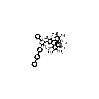 Bc1c(B)c(B)c(-c2c(B)c(-c3nc(-c4ccccc4)nc(-c4ccc(-c5ccc(-c6ccccc6)cc5)cc4)n3)c(B)c3sc4c(B)c(B)c(B)c(B)c4c23)c(B)c1B